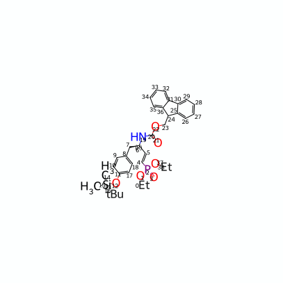 CCOP(=O)(C=C[C@@H](Cc1ccc(O[Si](C)(C)C(C)(C)C)cc1)NC(=O)OCC1c2ccccc2-c2ccccc21)OCC